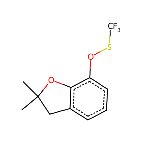 CC1(C)Cc2cccc(OSC(F)(F)F)c2O1